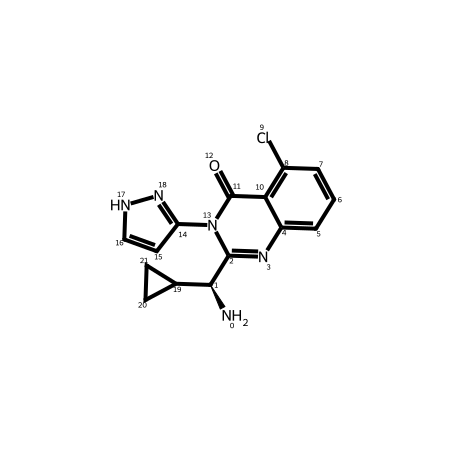 N[C@H](c1nc2cccc(Cl)c2c(=O)n1-c1cc[nH]n1)C1CC1